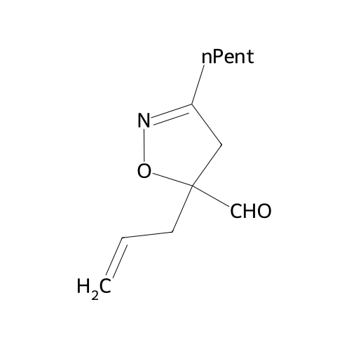 C=CCC1(C=O)CC(CCCCC)=NO1